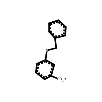 O=C(O)c1cccc(SCc2ccccc2)c1